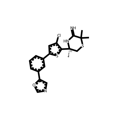 CC1(C)SC[C@@](C)(c2sc(-c3cccc(-c4cnco4)c3)cc2Cl)NC1=N